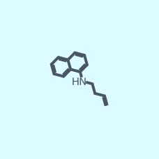 C=CCCNc1cccc2ccccc12